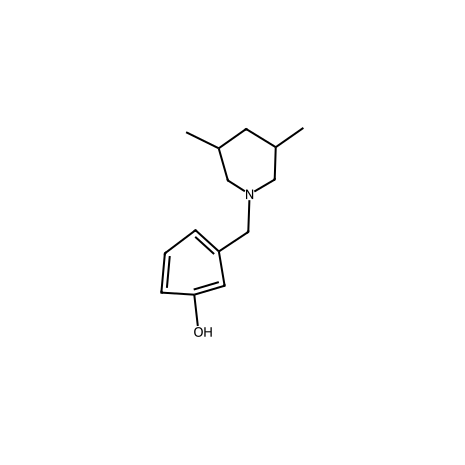 CC1CC(C)CN(Cc2cccc(O)c2)C1